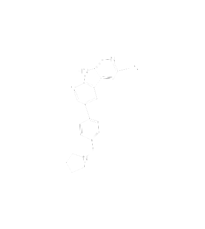 N#Cc1cc2c(cn1)[nH]c1ncc(-c3ccc(CN4CCCC4)cc3)cc12